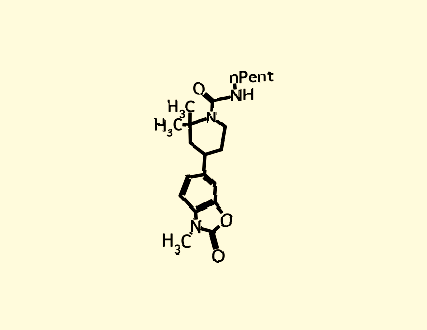 CCCCCNC(=O)N1CCC(c2ccc3c(c2)oc(=O)n3C)CC1(C)C